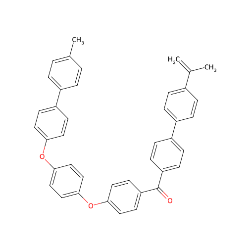 C=C(C)c1ccc(-c2ccc(C(=O)c3ccc(Oc4ccc(Oc5ccc(-c6ccc(C)cc6)cc5)cc4)cc3)cc2)cc1